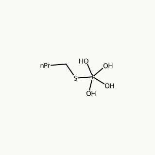 CCCCSI(O)(O)(O)O